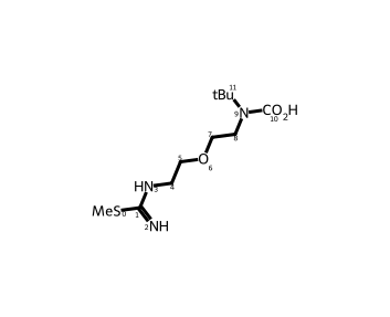 CSC(=N)NCCOCCN(C(=O)O)C(C)(C)C